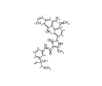 C/C=C\c1cc(C)c(-c2cc(-c3[nH]c(C)c(C(=O)Nc4cccc(C(F)(F)CC)c4)[n+]3[O-])ccc2OC)c(C)c1